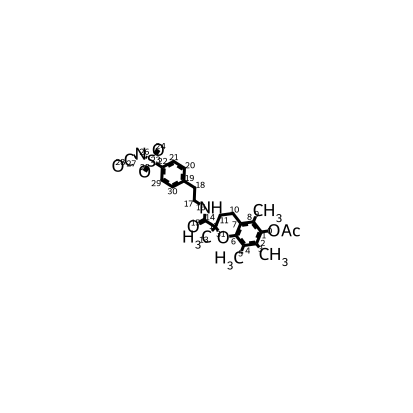 CC(=O)Oc1c(C)c(C)c2c(c1C)CCC(C)(C(=O)NCCc1ccc(S(=O)(=O)N=C=O)cc1)O2